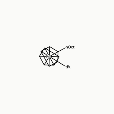 CCCCCCCC[C]12[CH]3[CH]4[CH]5[C]1(C(C)(C)C)[Fe]43521678[CH]2[CH]1[CH]6[CH]7[CH]28